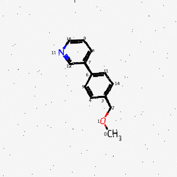 COCc1ccc(-c2cccnc2)cc1